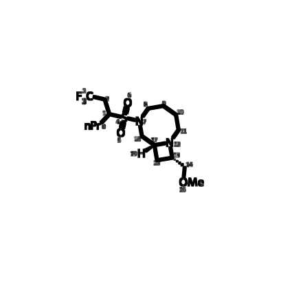 CCCC(CC(F)(F)F)S(=O)(=O)N1CCCCN2[C@H](COC)C[C@@H]2C1